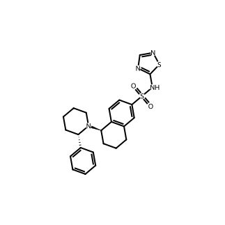 O=S(=O)(Nc1ncns1)c1ccc2c(c1)CCC[C@H]2N1CCCC[C@H]1c1ccccc1